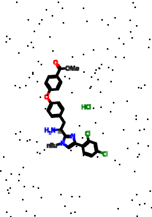 CCCCn1cc(-c2ccc(Cl)cc2Cl)nc1[C@@H](N)Cc1ccc(Oc2ccc(C(=O)OC)cc2)cc1.Cl